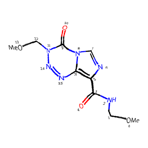 COCNC(=O)c1ncn2c(=O)n(COC)nnc12